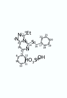 CCc1nnc2cc(-c3ccccc3)nc(SCc3ccccc3)n12.O=S(=O)(O)O